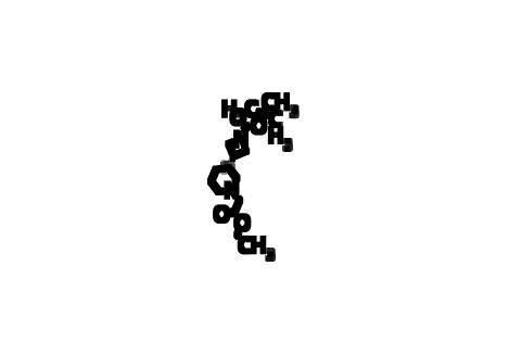 CCOC(=O)CN1CCC[C@H](C2CN(C(=O)OC(C)(C)C)C2)C1